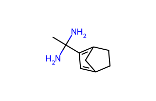 CC(N)(N)C1=C2CCC(=C1)C2